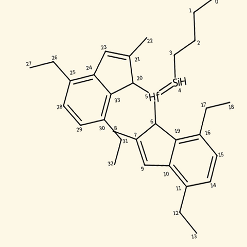 CCCC[SiH]=[Hf]([CH]1C(C)=Cc2c(CC)ccc(CC)c21)[CH]1C(C)=Cc2c(CC)ccc(CC)c21